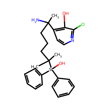 CC(N)(CCCC(C)(C)[Si](O)(c1ccccc1)c1ccccc1)c1ccnc(Cl)c1O